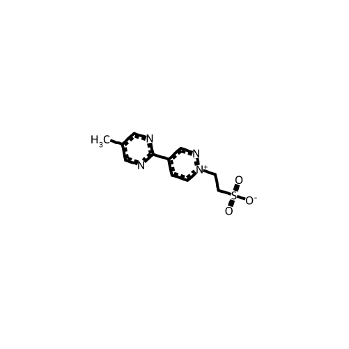 Cc1cnc(-c2cc[n+](CCS(=O)(=O)[O-])nc2)nc1